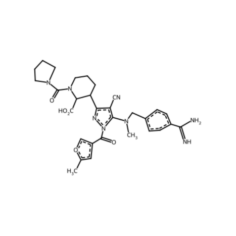 Cc1cc(C(=O)n2nc(C3CCCN(C(=O)N4CCCC4)C3C(=O)O)c(C#N)c2N(C)Cc2ccc(C(=N)N)cc2)co1